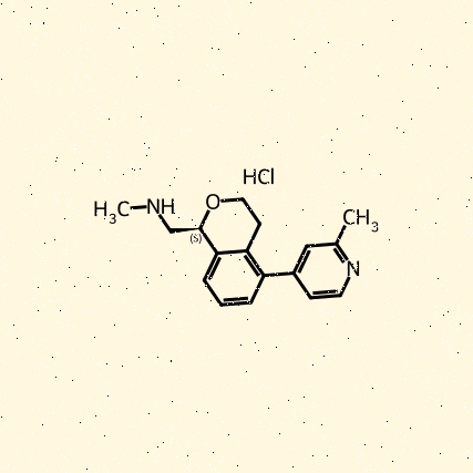 CNC[C@H]1OCCc2c(-c3ccnc(C)c3)cccc21.Cl